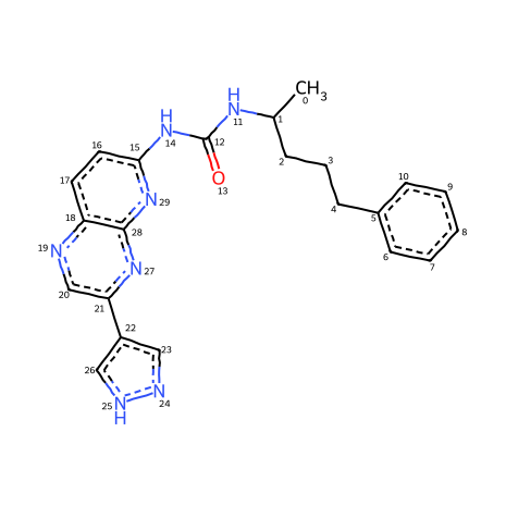 CC(CCCc1ccccc1)NC(=O)Nc1ccc2ncc(-c3cn[nH]c3)nc2n1